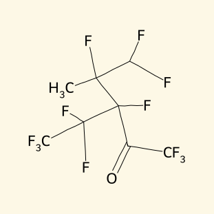 CC(F)(C(F)F)C(F)(C(=O)C(F)(F)F)C(F)(F)C(F)(F)F